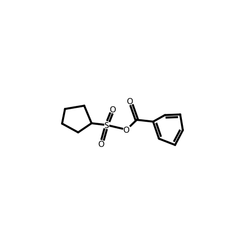 O=C(OS(=O)(=O)C1CCCC1)c1ccccc1